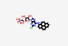 O=P(O)(O)CC[C@H]1O[C@@H](n2cnc3c(Nc4ccc5ccc6cccc7ccc4c5c67)nc(Cl)nc32)[C@@H](O)C1O